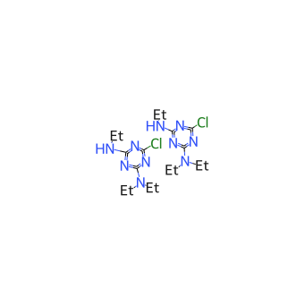 CCNc1nc(Cl)nc(N(CC)CC)n1.CCNc1nc(Cl)nc(N(CC)CC)n1